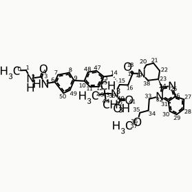 CCNC(=O)Nc1ccc(-c2ccc(C[C@H](CC(=O)N3CCC[C@@H](c4nc5ccccc5n4CCCOC)C3)N(C(=O)O)C(C)(C)C)cc2)cc1